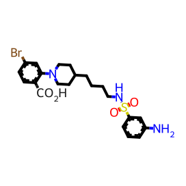 Nc1cccc(S(=O)(=O)NCCCCC2CCN(c3cc(Br)ccc3C(=O)O)CC2)c1